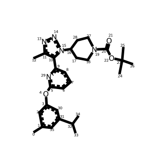 Cc1cc(Oc2cccc(-c3c(C)nnn3C3CCN(C(=O)OC(C)(C)C)CC3)n2)cc(C(C)C)c1